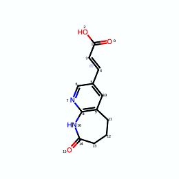 O=C(O)/C=C/c1cnc2c(c1)CCCC(=O)N2